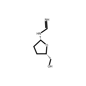 N=CN[C@H]1CC[C@@H](CO)O1